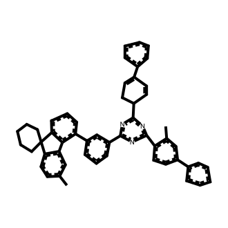 Cc1ccc2c(c1)-c1c(-c3cccc(-c4nc(-c5ccc(-c6ccccc6)cc5C)nc(C5C=CC(c6ccccc6)=CC5)n4)c3)cccc1C21CCCCC1